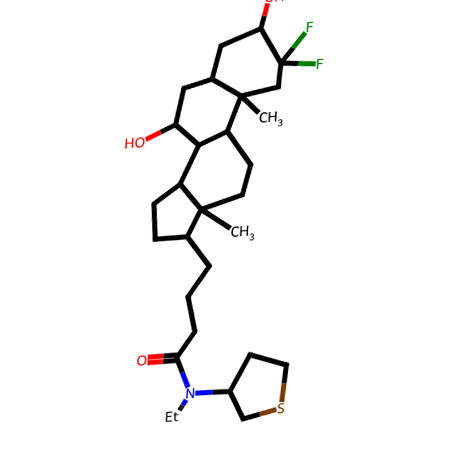 CCN(C(=O)CCCC1CCC2C3C(O)CC4CC(O)C(F)(F)CC4(C)C3CCC12C)C1CCSC1